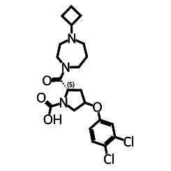 O=C([C@@H]1CC(Oc2ccc(Cl)c(Cl)c2)CN1C(=O)O)N1CCCN(C2CCC2)CC1